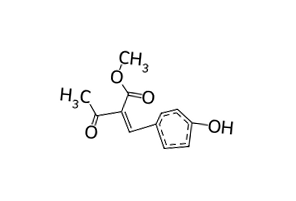 COC(=O)C(=Cc1ccc(O)cc1)C(C)=O